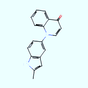 Cc1cc2cc(-n3ccc(=O)c4ccccc43)ccc2[nH]1